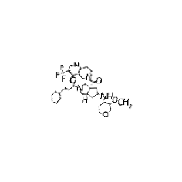 CO[C@@H]1COCC[C@@H]1N[C@@H]1C[C@H]2CN(C(=O)C=Cc3ccccc3)C[C@@]2(C(=O)N2CCc3ncc(C(F)(F)F)cc3C2)C1